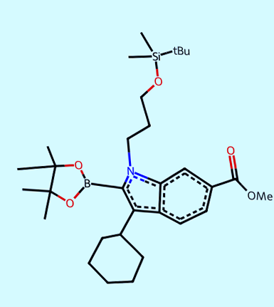 COC(=O)c1ccc2c(C3CCCCC3)c(B3OC(C)(C)C(C)(C)O3)n(CCCO[Si](C)(C)C(C)(C)C)c2c1